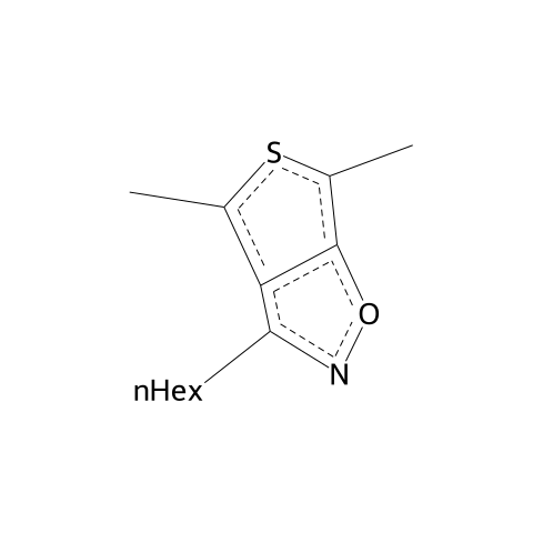 CCCCCCc1noc2c(C)sc(C)c12